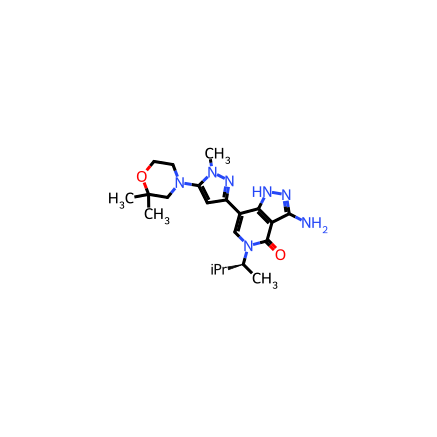 CC(C)[C@H](C)n1cc(-c2cc(N3CCOC(C)(C)C3)n(C)n2)c2[nH]nc(N)c2c1=O